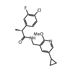 COc1ncc(C2CC2)cc1CNC(=O)[C@@H](C)c1ccc(Cl)c(F)c1